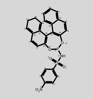 O=[N+]([O-])c1ccc(S(=O)(=O)Np2oc3ccc4c(c3c3c(ccc5ccccc53)o2)=CCCC=4)cc1